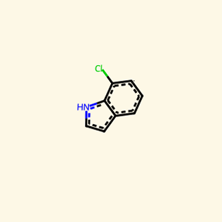 Clc1[c]ccc2cc[nH]c12